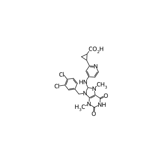 CN1c2c(n(C)c(=O)[nH]c2=O)N(Cc2ccc(Cl)c(Cl)c2)C1Nc1ccnc(C2CC2C(=O)O)c1